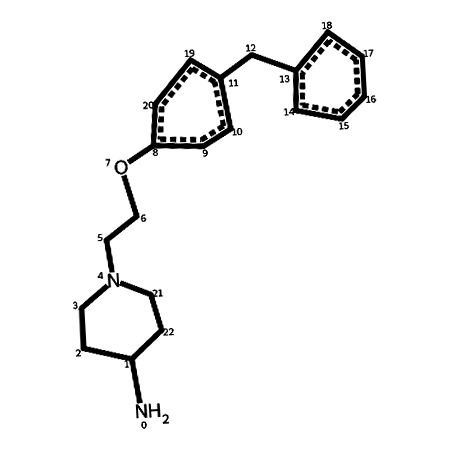 NC1CCN(CCOc2ccc(Cc3ccccc3)cc2)CC1